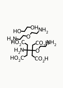 NCCOC(CC(=O)O)(CC(=O)O)C(N)(CC(=O)O)CC(=O)O.NCCOCCN.OCCO